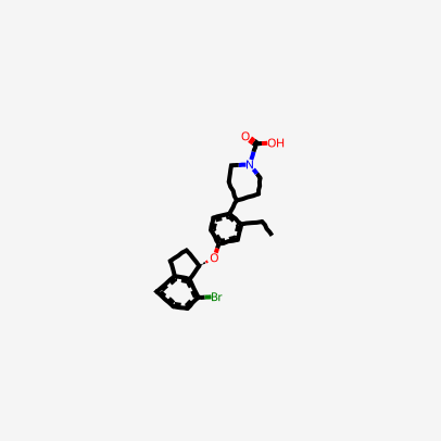 CCc1cc(O[C@H]2CCc3cccc(Br)c32)ccc1C1CCN(C(=O)O)CC1